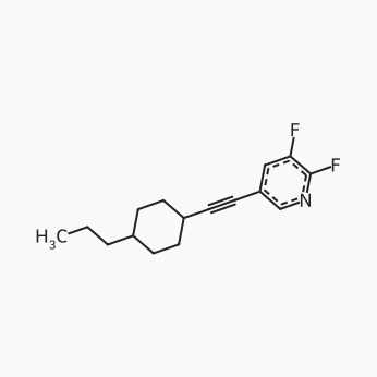 CCCC1CCC(C#Cc2cnc(F)c(F)c2)CC1